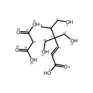 CC(CO)C(C=CC(=O)O)(CO)CO.O=C(O)CC(=O)O